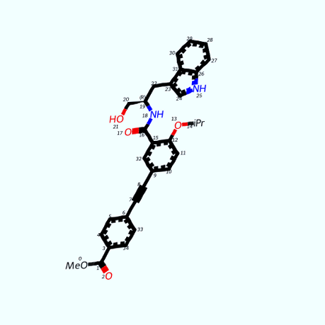 COC(=O)c1ccc(C#Cc2ccc(OC(C)C)c(C(=O)N[C@@H](CO)Cc3c[nH]c4ccccc34)c2)cc1